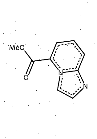 COC(=O)c1cccc2nccn12